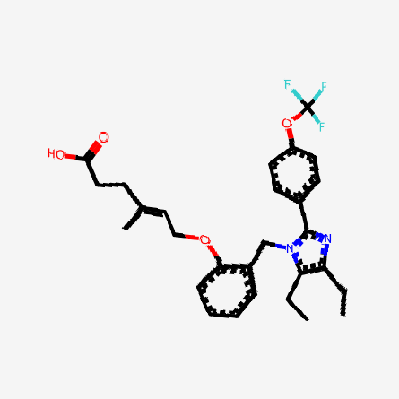 CCc1nc(-c2ccc(OC(F)(F)F)cc2)n(Cc2ccccc2OC/C=C(\C)CCC(=O)O)c1CC